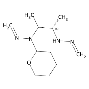 C=NN[C@@H](C)C(C)N(N=C)C1CCCCO1